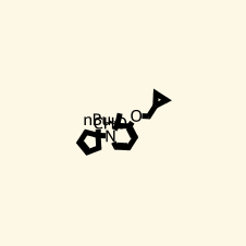 CCCC[C@]1(C)C(OCC2CC2)=CC=CN1C1(C=O)CC=CC1